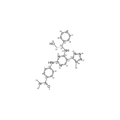 CN(C)C(=O)c1ccc(Nc2ncc(-c3nnnn3C)c(N[C@H](CO)c3ccccc3)n2)cc1